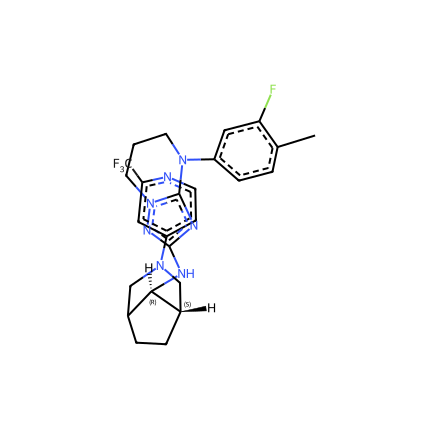 Cc1ccc(N2CCCn3nc(N[C@@H]4C5CC[C@H]4CN(c4ccnc(C(F)(F)F)c4)C5)nc32)cc1F